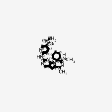 CNC1=NN(C)c2cc3cnc(Nc4ccc(S(N)(=O)=O)cn4)nc3n2C12CCCCC2